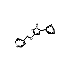 c1ccc(-c2cc(OCc3ccncc3)n[nH]2)cc1